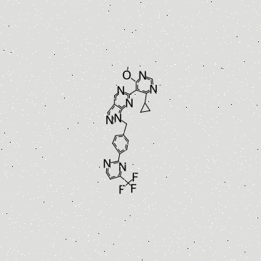 COc1ncnc(C2CC2)c1-c1ncc2cnn(Cc3ccc(-c4nccc(C(F)(F)F)n4)cc3)c2n1